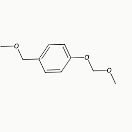 COCOc1ccc(COC)cc1